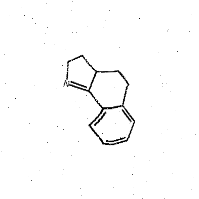 c1ccc2c(c1)CCC1CCN=C21